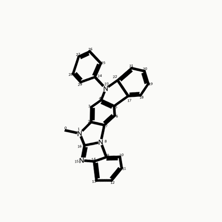 Cn1c2cc3c(cc2n2c4ccccc4nc12)c1ccccc1n3-c1ccccc1